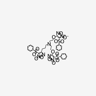 O=S(=O)(c1ccccc1)c1c(CCCN(CCOc2no[n+]([O-])c2S(=O)(=O)c2ccccc2)CCOc2no[n+]([O-])c2S(=O)(=O)c2ccccc2)no[n+]1[O-]